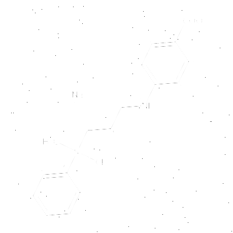 C[Si](C)(CCCNc1ccc(C(=O)[O-])cc1)c1ccccc1.[Na+]